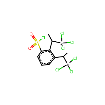 CC(c1cccc(S(=O)(=O)Cl)c1C(C)[Si](Cl)(Cl)Cl)[Si](Cl)(Cl)Cl